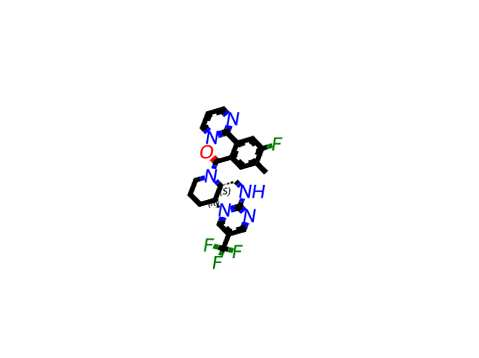 Cc1cc(C(=O)N2CCC[C@@H](C)[C@H]2CNc2ncc(C(F)(F)F)cn2)c(-c2ncccn2)cc1F